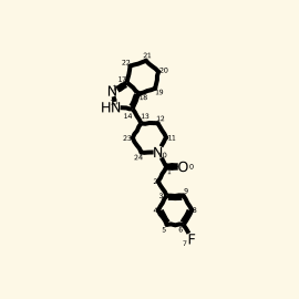 O=C(Cc1ccc(F)cc1)N1CCC(c2[nH]nc3c2CCCC3)CC1